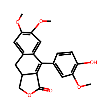 COc1cc(C2=C3C(=O)OCC3Cc3cc(OC)c(OC)cc32)ccc1O